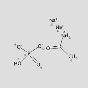 CC(N)=O.O=P([O-])([O-])O.[Na+].[Na+]